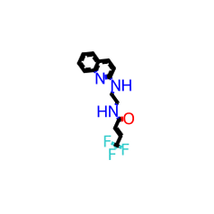 O=C(C=CC(F)(F)F)NCCNc1ccc2ccccc2n1